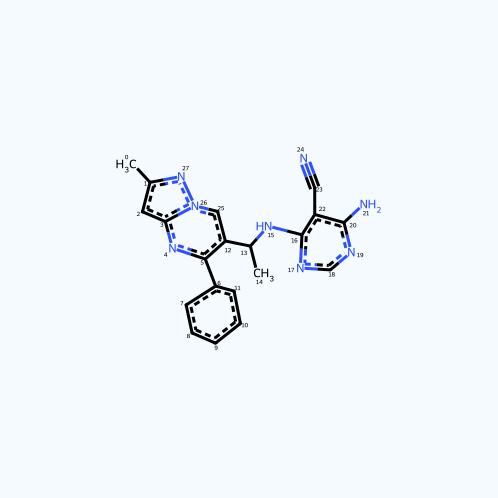 Cc1cc2nc(-c3ccccc3)c(C(C)Nc3ncnc(N)c3C#N)cn2n1